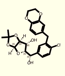 CC1(C)O[C@@H]2O[C@@H]([C@@H](O)c3ccc(Cl)c(Cc4ccc5c(c4)OCCO5)c3)[C@@H](O)[C@@H]2O1